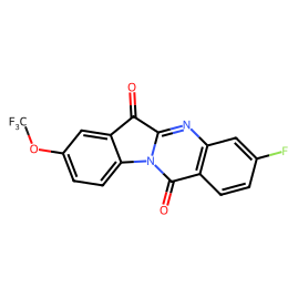 O=C1c2cc(OC(F)(F)F)ccc2-n2c1nc1cc(F)ccc1c2=O